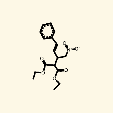 CCOC(=O)C(C(=O)OCC)C(/C=C/c1ccccc1)C[N+](=O)[O-]